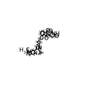 Cn1ncc2cnc(-c3cn([C@H]4C[C@H](COc5cccc6c5C(=O)N(C5CCC(=O)NC5=O)C6=O)C4)nc3C3CC3)cc21